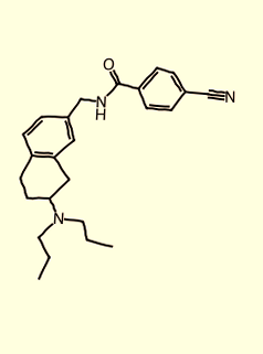 CCCN(CCC)C1CCc2ccc(CNC(=O)c3ccc(C#N)cc3)cc2C1